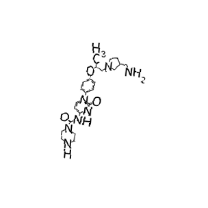 CC(CN1CCC(CN)C1)Oc1ccc(-n2ccc(NC(=O)N3CCNCC3)nc2=O)cc1